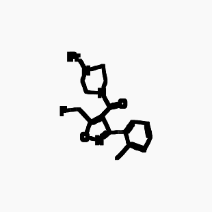 Cc1ccccc1-c1noc(CF)c1C(=O)N1CCN(C(C)C)CC1